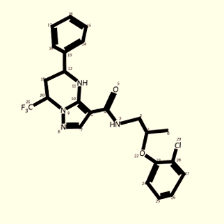 CC(CNC(=O)c1cnn2c1NC(c1ccccc1)CC2C(F)(F)F)Oc1ccccc1Cl